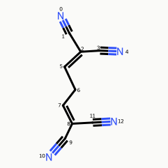 N#CC(C#N)=CCC=C(C#N)C#N